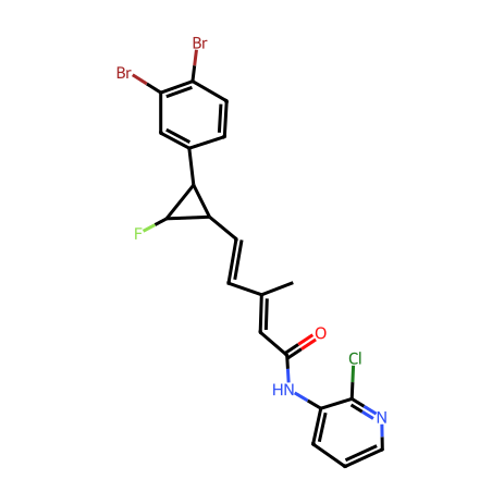 CC(/C=C/C1C(F)C1c1ccc(Br)c(Br)c1)=C\C(=O)Nc1cccnc1Cl